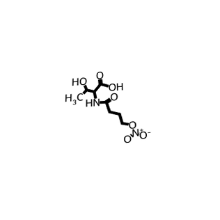 CC(O)C(NC(=O)CCCO[N+](=O)[O-])C(=O)O